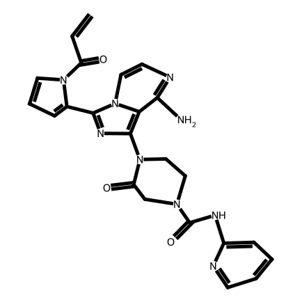 C=CC(=O)n1cccc1-c1nc(N2CCN(C(=O)Nc3ccccn3)CC2=O)c2c(N)nccn12